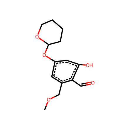 COCc1cc(OC2CCCCO2)cc(O)c1C=O